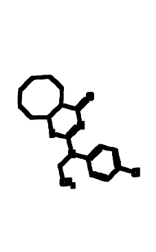 CCN(C1=NC(=O)C2CCCCCCC2S1)c1ccc(Cl)cc1